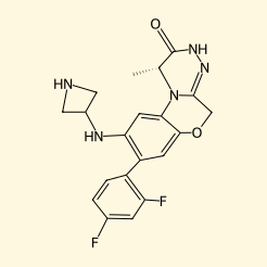 C[C@@H]1C(=O)NN=C2COc3cc(-c4ccc(F)cc4F)c(NC4CNC4)cc3N21